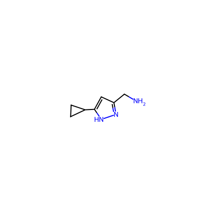 NCc1cc(C2CC2)[nH]n1